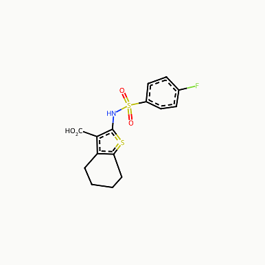 O=C(O)c1c(NS(=O)(=O)c2ccc(F)cc2)sc2c1CCCC2